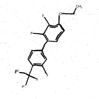 CCOc1ccc(-c2ccc(C(F)(F)F)c(F)c2)c(F)c1F